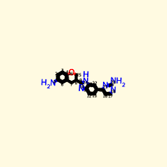 Nc1ccc2c(c1)CC(c1nc3ccc(-c4ccnc(N)n4)cc3[nH]1)CO2